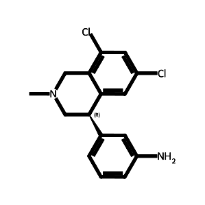 CN1Cc2c(Cl)cc(Cl)cc2[C@@H](c2cccc(N)c2)C1